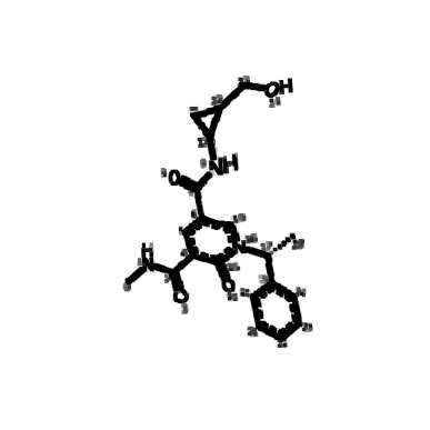 CNC(=O)c1cc(C(=O)NC2CC2CO)cn([C@H](C)c2ccccc2)c1=O